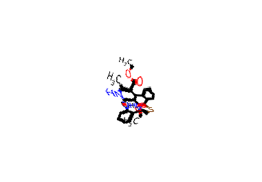 CCOC(=O)C1=C(C)NC(C)=C(C(=O)OCC)C1c1ccccc1-c1nc(-c2ccccc2N)cs1